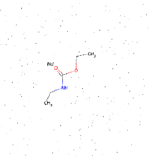 CCNC(=O)OCC.[Nd]